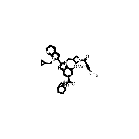 CC#CC(=O)N1CC(Cn2c(-c3cc4cccnc4n3CC3CC3)nc3cc(C(=O)N4CC5CCC4[C@@H]5N)cc(OC)c32)C1